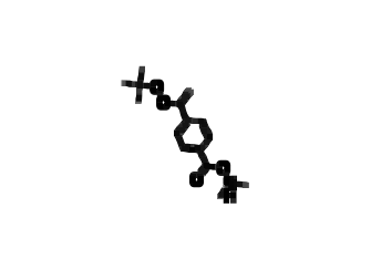 C=C(OOC(C)(C)C)c1ccc(C(=O)O[SiH](C)C)cc1